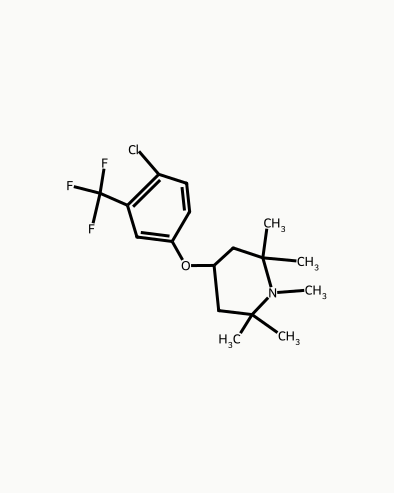 CN1C(C)(C)CC(Oc2ccc(Cl)c(C(F)(F)F)c2)CC1(C)C